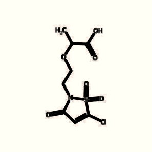 CC(OCCN1C(=O)C=C(Cl)S1(=O)=O)C(=O)O